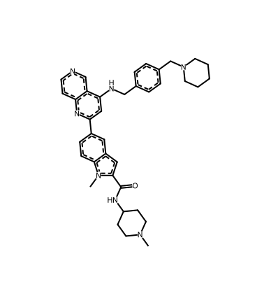 CN1CCC(NC(=O)c2cc3cc(-c4cc(NCc5ccc(CN6CCCCC6)cc5)c5cnccc5n4)ccc3n2C)CC1